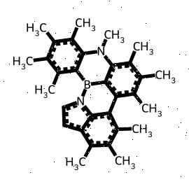 Cc1c(C)c(C)c2c(c1C)B1c3c(c(C)c(C)c(C)c3N2C)-c2c(C)c(C)c(C)c3ccn1c23